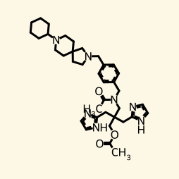 CC(=O)OCC(Cc1ncc[nH]1)(Cc1ncc[nH]1)CN(Cc1ccc(CN2CCC3(CCN(C4CCCCC4)CC3)C2)cc1)C(C)=O